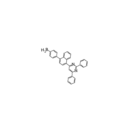 Bc1ccc(-c2ccc(-c3cc(-c4ccccc4)nc(-c4ccccc4)n3)c3ccccc23)cc1